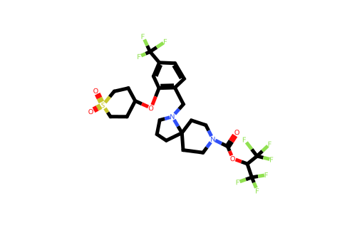 O=C(OC(C(F)(F)F)C(F)(F)F)N1CCC2(CCCN2Cc2ccc(C(F)(F)F)cc2OC2CCS(=O)(=O)CC2)CC1